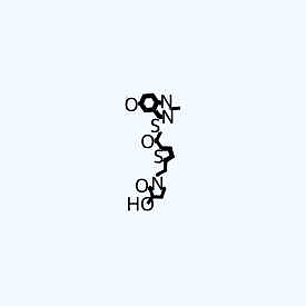 COc1ccc2nc(C)nc(SCC(=O)c3ccc(CCN4CCC(O)C4=O)s3)c2c1